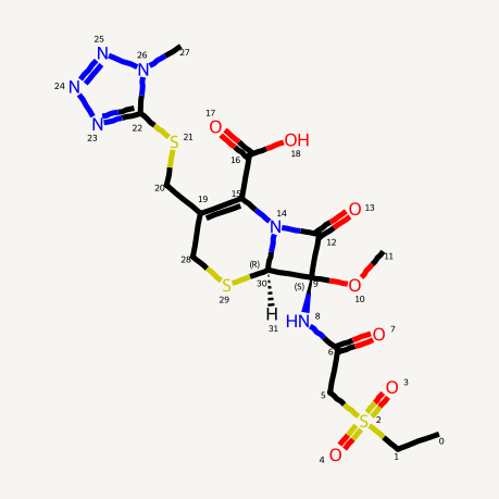 CCS(=O)(=O)CC(=O)N[C@]1(OC)C(=O)N2C(C(=O)O)=C(CSc3nnnn3C)CS[C@@H]21